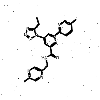 CCc1nnnn1-c1cc(C(=O)NCc2cnc(C)cn2)cc(-c2ccc(C)cn2)c1